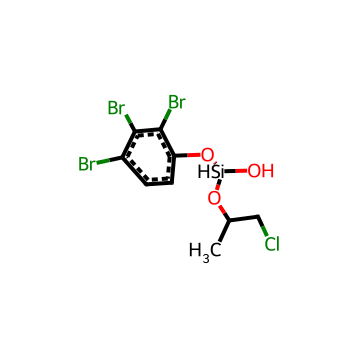 CC(CCl)O[SiH](O)Oc1ccc(Br)c(Br)c1Br